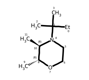 CCC(C)(C)N1CCO[C@H](C)[C@H]1C